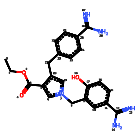 CCOC(=O)c1cn(Cc2cc(C(=N)N)ccc2O)cc1Cc1ccc(C(=N)N)cc1